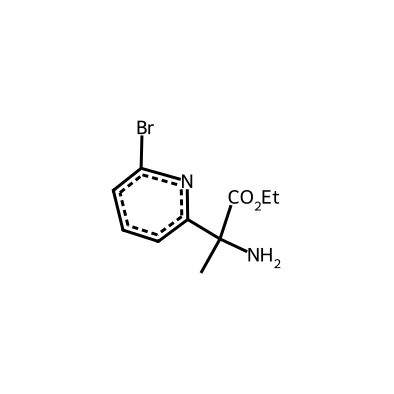 CCOC(=O)C(C)(N)c1cccc(Br)n1